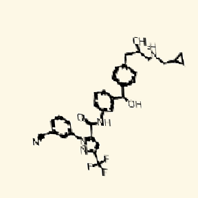 CC(CNCC1CC1)Cc1ccc(C(O)c2cccc(NC(=O)c3cc(C(F)(F)F)nn3-c3cccc(C#N)c3)c2)cc1